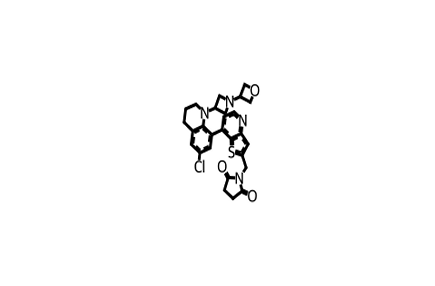 O=C1CCC(=O)N1Cc1cc2nccc(-c3cc(Cl)cc4c3N(C3CN(C5COC5)C3)CCC4)c2s1